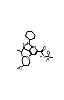 COC1CCN(c2cc(C(=O)NS(C)(=O)=O)nc3c2c(C(C)C)nn3C2CCCCC2)CC1